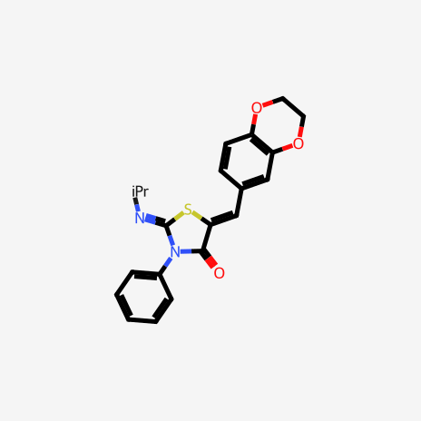 CC(C)/N=C1\S/C(=C\c2ccc3c(c2)OCCO3)C(=O)N1c1ccccc1